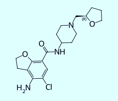 Nc1c(Cl)cc(C(=O)NC2CCN(C[C@H]3CCCO3)CC2)c2c1CCO2